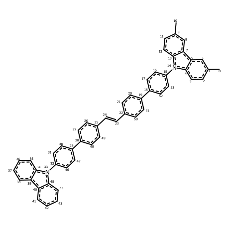 Cc1ccc2c(c1)c1cc(C)ccc1n2-c1ccc(-c2ccc(/C=C/c3ccc(-c4ccc(-n5c6ccccc6c6ccccc65)cc4)cc3)cc2)cc1